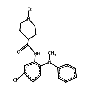 CCN1CCC(C(=O)Nc2cc(Cl)ccc2N(C)c2ccccc2)CC1